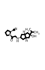 CC(C)[C@@]1(O)C[C@H]2C[C@@H](NCC(=O)N3CCC[C@H]3C#N)C[C@H]2C1